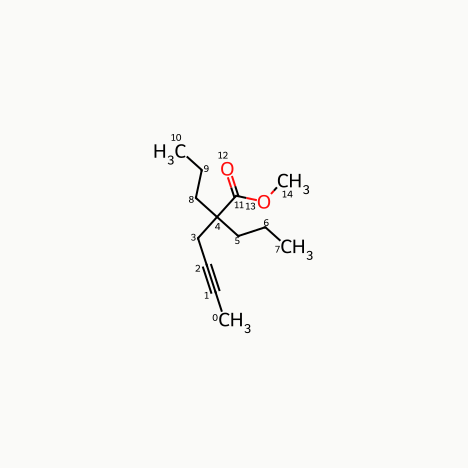 CC#CCC(CCC)(CCC)C(=O)OC